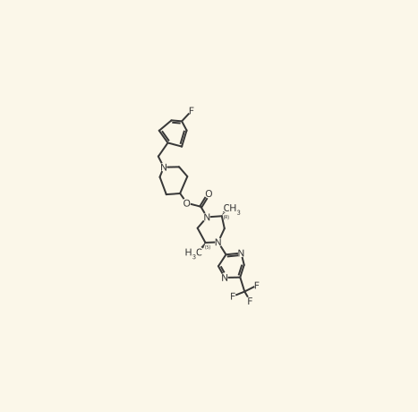 C[C@@H]1CN(c2cnc(C(F)(F)F)cn2)[C@@H](C)CN1C(=O)OC1CCN(Cc2ccc(F)cc2)CC1